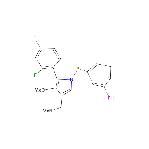 CNCc1cn(Sc2cccc(P)c2)c(-c2ccc(F)cc2F)c1OC